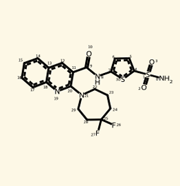 NS(=O)(=O)c1ccc(NC(=O)c2cc3ccccc3nc2N2CCCC(F)(F)CC2)s1